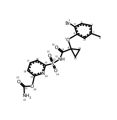 Cc1ccc(Br)c(OC2(C(=O)NS(=O)(=O)c3cccc(OC(N)=O)n3)CC2)c1